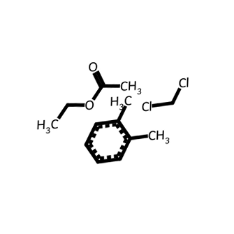 CCOC(C)=O.Cc1ccccc1C.ClCCl